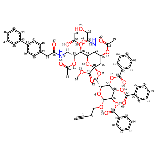 C#CCCO[C@@H]1O[C@H](CO[C@]2(C(=O)OC)C[C@H](OC(C)=O)[C@@H](NC(=O)CO)[C@H]([C@H](OC(C)=O)[C@@H](CNC(=O)Cc3ccc(-c4ccccc4)cc3)OC(C)=O)O2)[C@H](OC(=O)c2ccccc2)[C@H](OC(=O)c2ccccc2)[C@H]1OC(=O)c1ccccc1